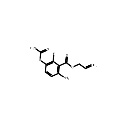 C=CCOC(=O)c1c(N)ccc(OC(N)=O)c1F